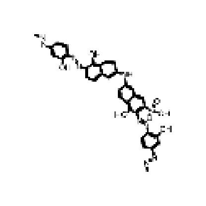 CN=Nc1ccc(N=Nc2ccc3cc(Nc4ccc5c(O)c(N=Nc6ccc(N=NC)cc6O)c(S(=O)(=O)O)cc5c4)ccc3c2O)c(O)c1